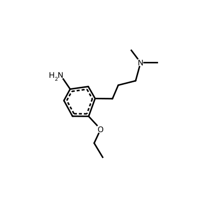 CCOc1ccc(N)cc1CCCN(C)C